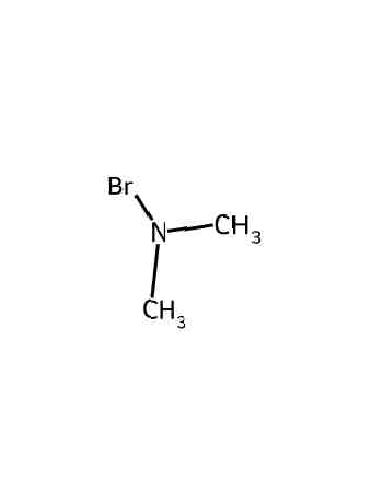 CN(C)Br